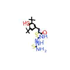 CC(C)(C)c1cc(/C=C2\S/C(=N/NC(N)=S)NC2=O)cc(C(C)(C)C)c1O